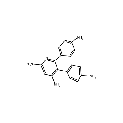 Nc1ccc(-c2nc(N)[c]c(N)c2-c2ccc(N)cc2)cc1